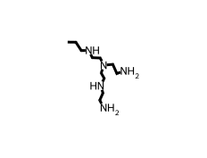 CCCNCCN(CCN)CCNCCN